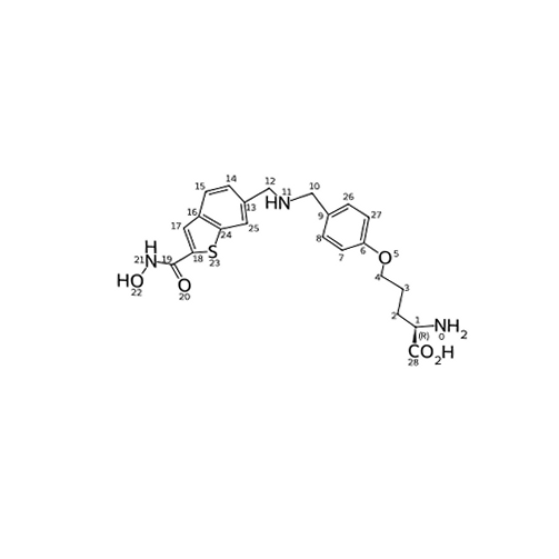 N[C@H](CCCOc1ccc(CNCc2ccc3cc(C(=O)NO)sc3c2)cc1)C(=O)O